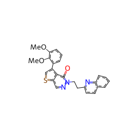 COc1cccc(-c2csc3cnn(CCc4ccc5ccccc5n4)c(=O)c23)c1OC